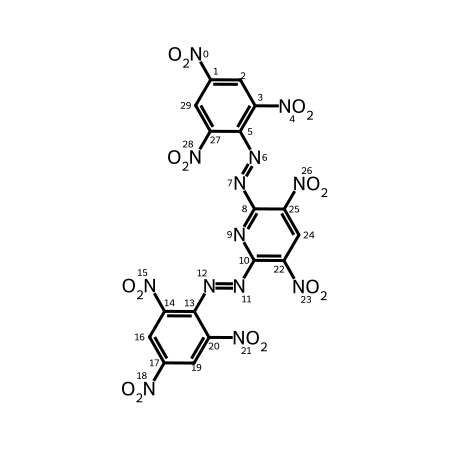 O=[N+]([O-])c1cc([N+](=O)[O-])c(N=Nc2nc(N=Nc3c([N+](=O)[O-])cc([N+](=O)[O-])cc3[N+](=O)[O-])c([N+](=O)[O-])cc2[N+](=O)[O-])c([N+](=O)[O-])c1